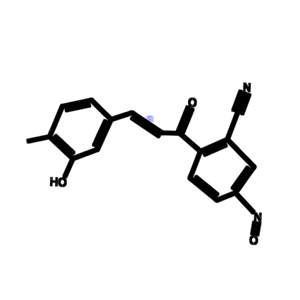 Cc1ccc(/C=C/C(=O)c2ccc(N=O)cc2C#N)cc1O